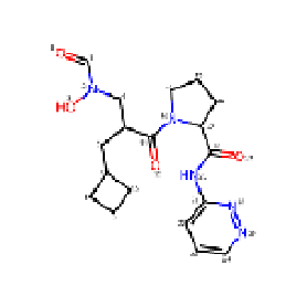 O=CN(O)CC(CC1CCC1)C(=O)N1CCCC1C(=O)Nc1cccnn1